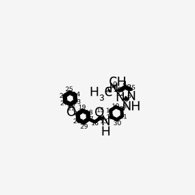 CN(C)c1ccnc(NC2CCC(NC(=O)Cc3ccc(Oc4ccccc4)cc3)CC2)n1